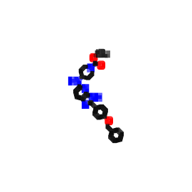 CC(C)(C)OC(=O)N1CCC(Nc2ccc3nc(-c4ccc(OCc5ccccc5)cc4)[nH]c3n2)CC1